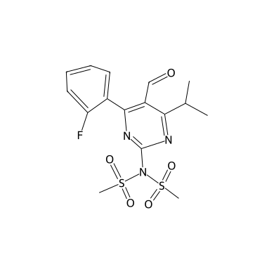 CC(C)c1nc(N(S(C)(=O)=O)S(C)(=O)=O)nc(-c2ccccc2F)c1C=O